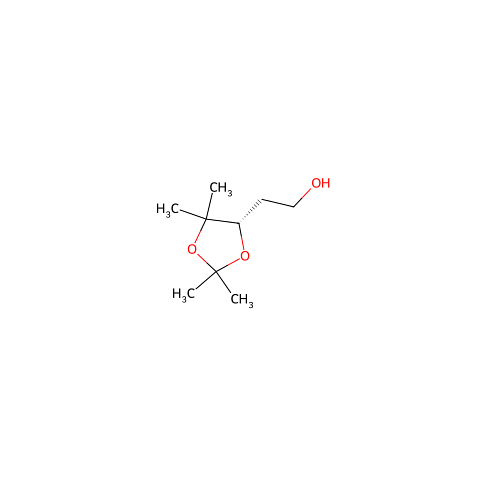 CC1(C)O[C@@H](CCO)C(C)(C)O1